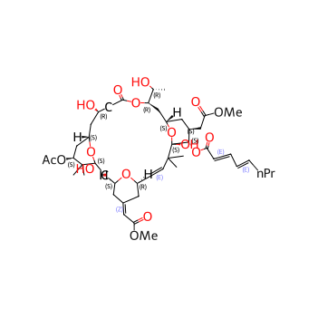 CCC/C=C/C=C/C(=O)O[C@H]1[C@H](CC(=O)OC)C[C@H]2C[C@H]([C@@H](C)O)OC(=O)C[C@H](O)C[C@H]3C[C@H](OC(C)=O)C(C)(C)[C@](O)(C[C@@H]4C/C(=C/C(=O)OC)C[C@H](/C=C/C(C)(C)[C@]1(O)O2)O4)O3